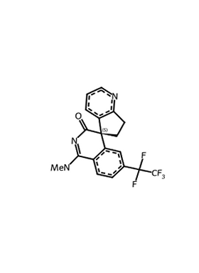 CNC1=NC(=O)[C@@]2(CCc3ncccc32)c2cc(C(F)(F)C(F)(F)F)ccc21